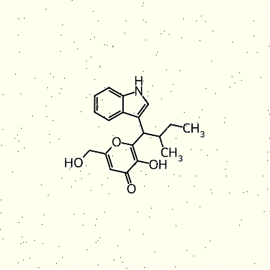 CCC(C)C(c1oc(CO)cc(=O)c1O)c1c[nH]c2ccccc12